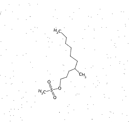 CCCCCCC(C)CCCOS(C)(=O)=O